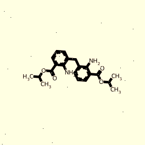 CC(C)OC(=O)c1cccc(Cc2cccc(C(=O)OC(C)C)c2N)c1N